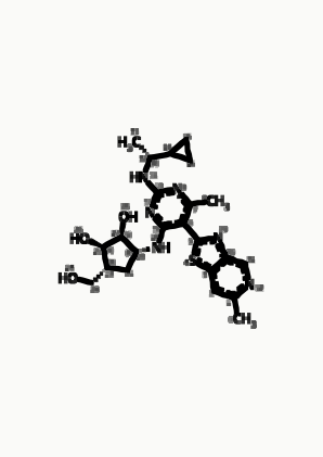 Cc1cc2sc(-c3c(C)nc(N[C@H](C)C4CC4)nc3N[C@@H]3C[C@H](CO)[C@@H](O)[C@H]3O)nc2cn1